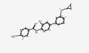 Cc1ncc(C(=O)Nc2ncc(-c3cccc(OC4CC4)c3)cc2F)cn1